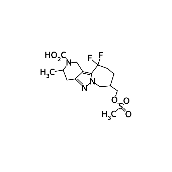 CC1Cc2nn3c(c2CN1C(=O)O)C(F)(F)CCC(COS(C)(=O)=O)C3